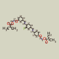 C=C(C)C(=O)O/C=C\Oc1ccc(/C=C/c2ccc(/C=C/c3cccc(O/C=C\OC(=O)C(=C)C)c3)c(F)c2)cc1